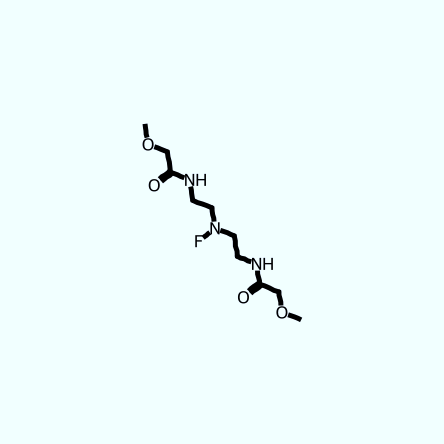 COCC(=O)NCCN(F)CCNC(=O)COC